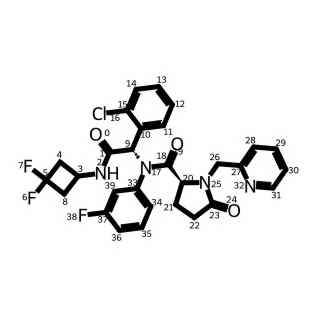 O=C(NC1CC(F)(F)C1)[C@H](c1ccccc1Cl)N(C(=O)[C@@H]1CCC(=O)N1Cc1ccccn1)c1cccc(F)c1